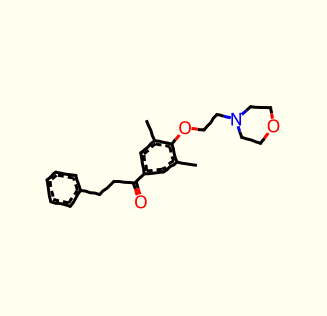 Cc1cc(C(=O)CCc2ccccc2)cc(C)c1OCCN1CCOCC1